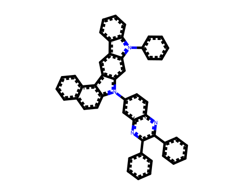 c1ccc(-c2nc3ccc(-n4c5cc6c(cc5c5c7ccccc7ccc54)c4ccccc4n6-c4ccccc4)cc3nc2-c2ccccc2)cc1